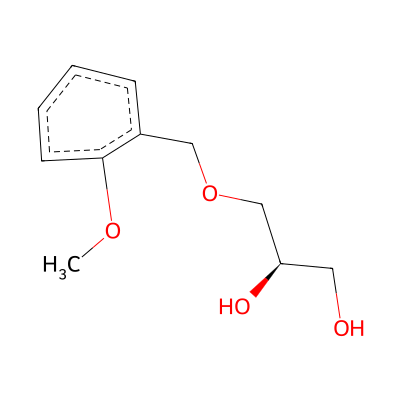 COc1ccccc1COC[C@H](O)CO